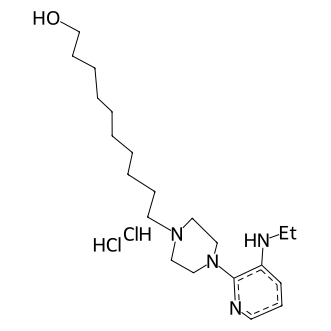 CCNc1cccnc1N1CCN(CCCCCCCCCCO)CC1.Cl.Cl